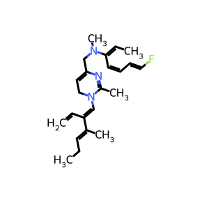 C=CC(=C\N1CC=C(CN(C)C(/C=C\C=C\F)=C/C)N=C1C)/C(C)=C/CC